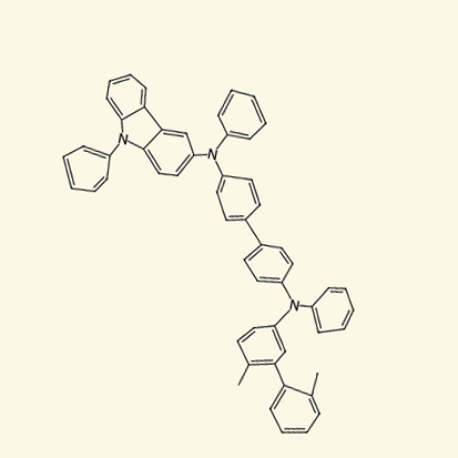 Cc1ccccc1-c1cc(N(c2ccccc2)c2ccc(-c3ccc(N(c4ccccc4)c4ccc5c(c4)c4ccccc4n5-c4ccccc4)cc3)cc2)ccc1C